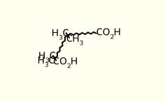 CC(C)(CCCCCCCCCCC(=O)O)CCCCCCCCC(C)(C)C(=O)O